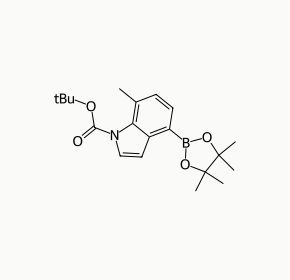 Cc1ccc(B2OC(C)(C)C(C)(C)O2)c2ccn(C(=O)OC(C)(C)C)c12